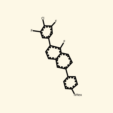 CCCCCCc1ccc(-c2ccc3c(F)c(-c4cc(F)c(Cl)c(F)c4)ccc3c2)cc1